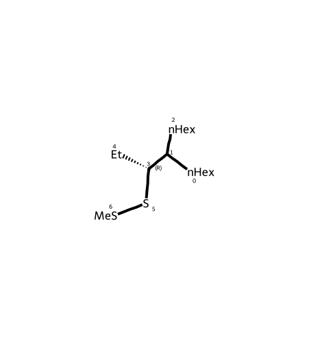 CCCCCCC(CCCCCC)[C@@H](CC)SSC